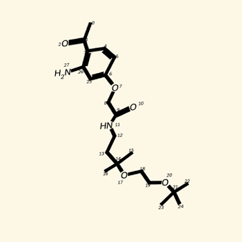 CC(=O)c1ccc(OCC(=O)NCCC(C)(C)OCCOC(C)(C)C)cc1N